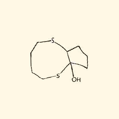 OC12CCCC1SCCCCS2